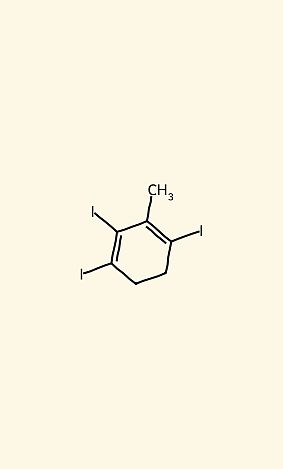 CC1=C(I)CCC(I)=C1I